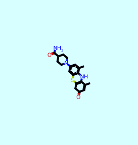 CC1=CC(=O)CC2=C1Nc1c(C)cc(N3CCC(C(N)=O)CC3)cc1S2